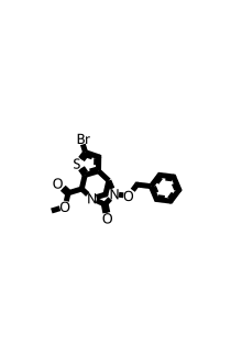 COC(=O)C1c2sc(Br)cc2C2CN1C(=O)N2OCc1ccccc1